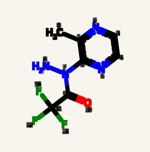 Cc1nccnc1N(N)C(=O)C(F)(F)F